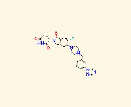 O=C1CCC(N2Cc3cc(N4CCN(Cc5cccc(-n6cncn6)c5)CC4)c(F)cc3C2=O)C(=O)N1